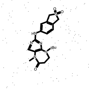 CN1C(=O)CCN(C(C)(C)C)c2nc(Nc3ccc4c(c3)CS(=O)(=O)C4)ncc21